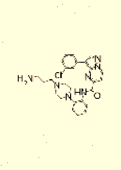 NCCCN1CCN(c2ccccc2NC(=O)c2ccn3ncc(-c4cccc(Cl)c4)c3n2)CC1